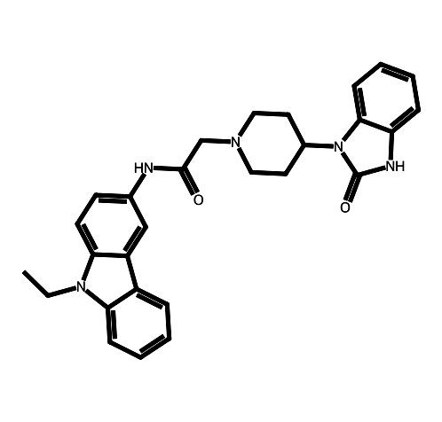 CCn1c2ccccc2c2cc(NC(=O)CN3CCC(n4c(=O)[nH]c5ccccc54)CC3)ccc21